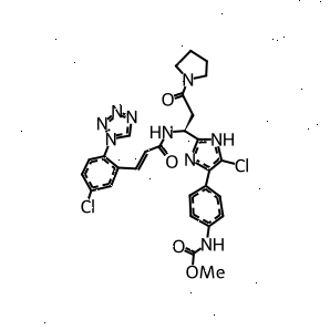 COC(=O)Nc1ccc(-c2nc([C@H](CC(=O)N3CCCC3)NC(=O)/C=C/c3cc(Cl)ccc3-n3cnnn3)[nH]c2Cl)cc1